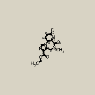 CCOC(=O)c1ncn2c1CN(C)C(=O)c1nc(F)ccc1-2